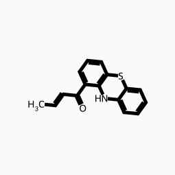 CC=CC(=O)c1cccc2c1Nc1ccccc1S2